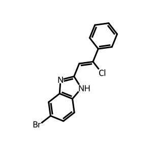 ClC(=Cc1nc2cc(Br)ccc2[nH]1)c1ccccc1